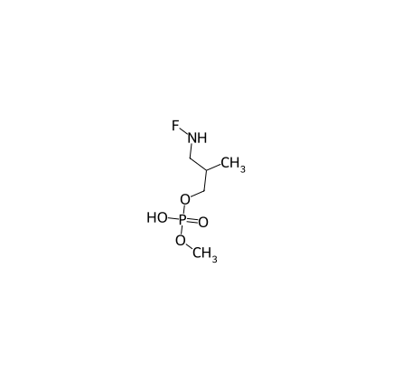 COP(=O)(O)OCC(C)CNF